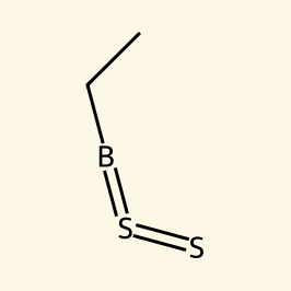 CCB=S=S